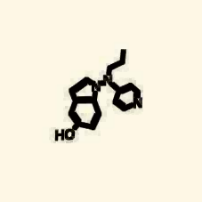 CCCN(c1ccncc1)n1ccc2cc(O)ccc21